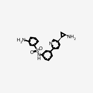 Nc1cccc(S(=O)(=O)Nc2cccc(-c3ccc([C@H]4C[C@@H]4N)cn3)c2)c1